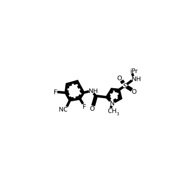 CC(C)NS(=O)(=O)c1cc(C(=O)Nc2ccc(F)c(C#N)c2F)n(C)c1